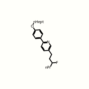 CCCCCCCOc1ccc(-c2ccc(CCC(F)CCC)cn2)cc1